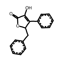 O=C1OC(Cc2ccccc2)C(c2ccccc2)=C1O